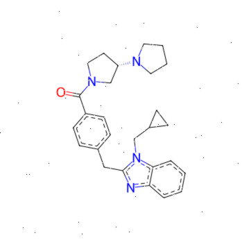 O=C(c1ccc(Cc2nc3ccccc3n2CC2CC2)cc1)N1CC[C@H](N2CCCC2)C1